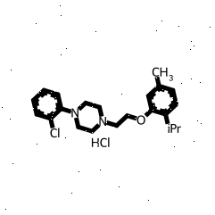 Cc1ccc(C(C)C)c(OCCN2CCN(c3ccccc3Cl)CC2)c1.Cl